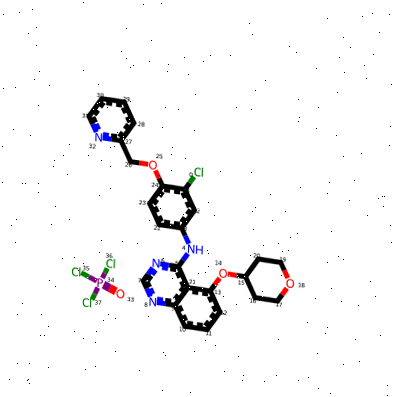 Clc1cc(Nc2ncnc3cccc(OC4CCOCC4)c23)ccc1OCc1ccccn1.O=P(Cl)(Cl)Cl